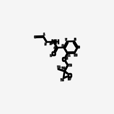 C=CCNC(=O)c1ccccc1OCC1(C)CO1